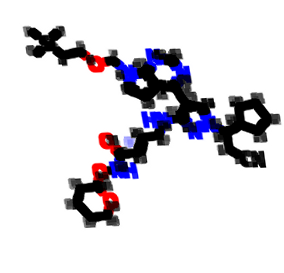 C[Si](C)(C)CCOCn1ccc2c(-c3cn(C(CC#N)C4CCCC4)nc3NC/C=C/C(=O)NOC3CCCCO3)ncnc21